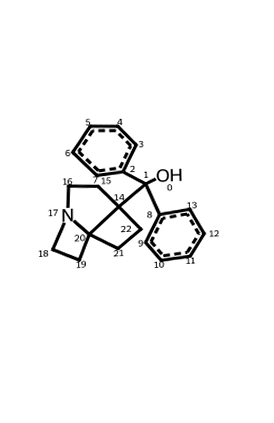 OC(c1ccccc1)(c1ccccc1)C12CCN3CCC31CC2